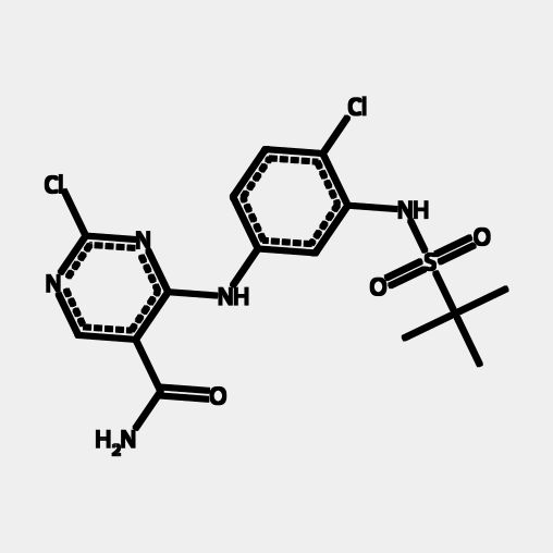 CC(C)(C)S(=O)(=O)Nc1cc(Nc2nc(Cl)ncc2C(N)=O)ccc1Cl